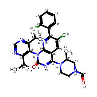 CC(C)c1ncnc(C(C)C)c1-n1c(=O)nc(N2CCN(C=O)CC2C)c2cc(Cl)c(-c3ccccc3F)nc21